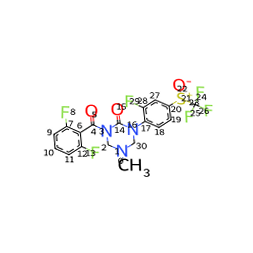 CN1CN(C(=O)c2c(F)cccc2F)C(=O)N(c2ccc([S+]([O-])C(F)(F)F)cc2F)C1